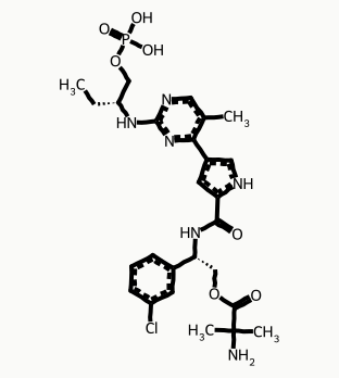 CC[C@H](COP(=O)(O)O)Nc1ncc(C)c(-c2c[nH]c(C(=O)N[C@H](COC(=O)C(C)(C)N)c3cccc(Cl)c3)c2)n1